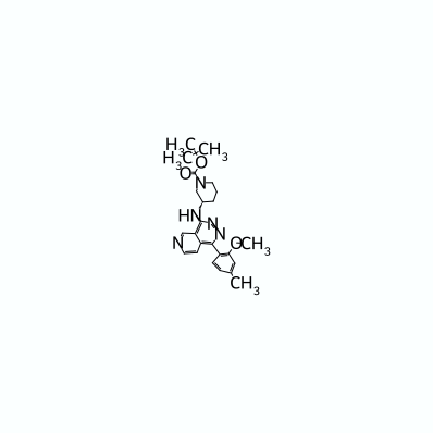 COc1cc(C)ccc1-c1nnc(N[C@@H]2CCCN(C(=O)OC(C)(C)C)C2)c2cnccc12